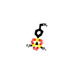 C=Cc1ccc(S(=O)(=O)C(S(=O)(=O)C(F)(F)F)S(=O)(=O)C(F)(F)F)cc1